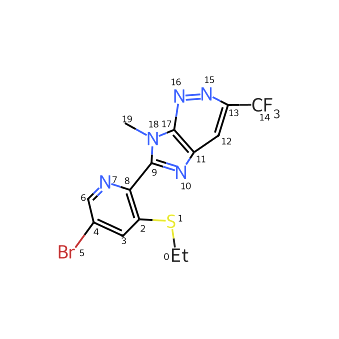 CCSc1cc(Br)cnc1-c1nc2cc(C(F)(F)F)nnc2n1C